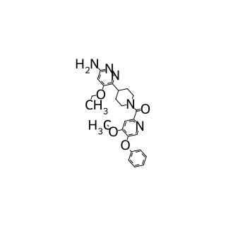 CCOc1cc(N)nnc1C1CCN(C(=O)c2cc(OC)c(Oc3ccccc3)cn2)CC1